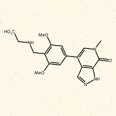 COc1cc(-c2cn(C)c(=O)c3[nH]ncc23)cc(OC)c1CNCC(=O)O